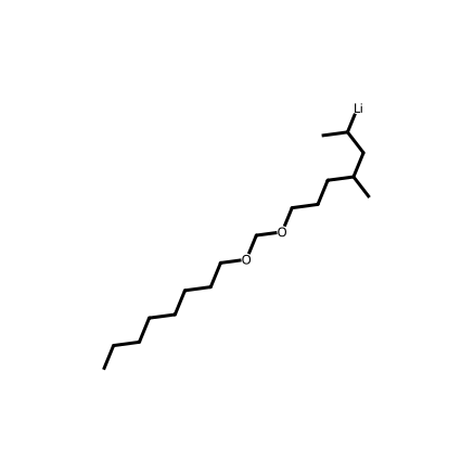 [Li][CH](C)CC(C)CCCOCOCCCCCCCC